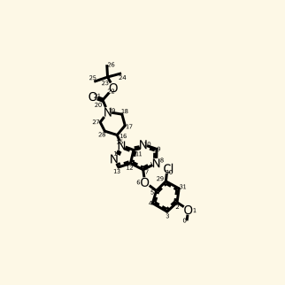 COc1ccc(Oc2ncnc3c2cnn3C2CCN(C(=O)OC(C)(C)C)CC2)c(Cl)c1